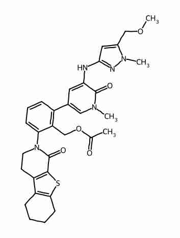 COCc1cc(Nc2cc(-c3cccc(N4CCc5c(sc6c5CCCC6)C4=O)c3COC(C)=O)cn(C)c2=O)nn1C